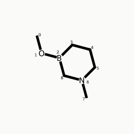 COB1CCCN(C)C1